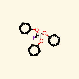 [I][Hf]([O]c1ccccc1)([O]c1ccccc1)[O]c1ccccc1